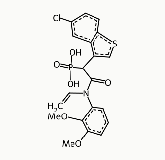 C=CN(C(=O)C(c1csc2ccc(Cl)cc12)P(=O)(O)O)c1cccc(OC)c1OC